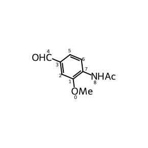 COc1cc(C=O)ccc1NC(C)=O